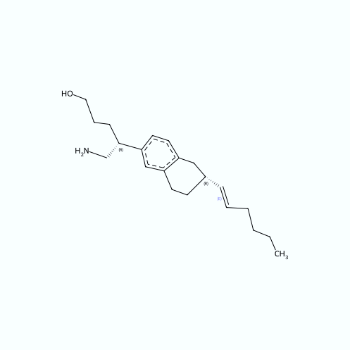 CCCC/C=C/[C@@H]1CCc2cc([C@H](CN)CCCO)ccc2C1